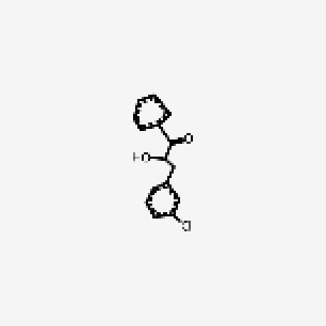 O=C(c1ccccc1)C(O)Cc1cccc(Cl)c1